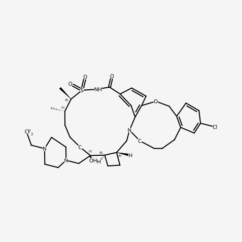 C[C@@H]1[C@@H](C)CCC[C@@](O)(CN2CCN(CC(F)(F)F)CC2)[C@@H]2CC[C@H]2CN2CCCCc3cc(Cl)ccc3COc3ccc(cc32)C(=O)NS1(=O)=O